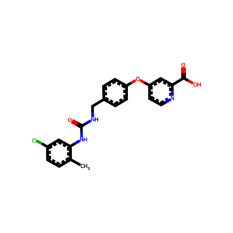 Cc1ccc(Cl)cc1NC(=O)NCc1ccc(Oc2ccnc(C(=O)O)c2)cc1